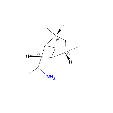 CC(N)[C@@H]1C2CC1[C@@H](C)C[C@H]2C